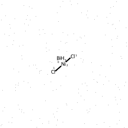 [BiH3].[Cl][Ni][Cl]